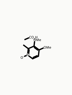 CC(=O)O.COc1cc[n+]([O-])c(C)c1OC